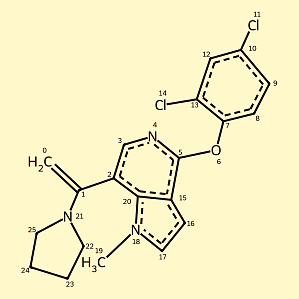 C=C(c1cnc(Oc2ccc(Cl)cc2Cl)c2ccn(C)c12)N1CCCC1